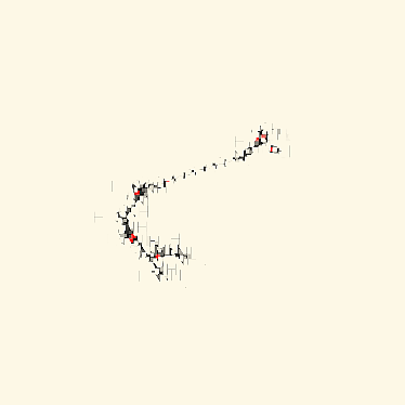 CC(=O)N1c2ccc(-c3ccc(C(=O)NCCOCCOCCOCCOCCOCCOCCOCCOCCNC(=O)c4nc(NC(=O)CCNC(=O)c5cc(NC(=O)c6nc(NC(=O)CCNC(=O)[C@H](CCCNC(=N)N)NC(=O)[C@@H](N)CCCNC(=N)N)cn6C)cn5C)cn4C)cc3)cc2[C@H](Nc2ccc(Cl)cc2)C[C@@H]1C